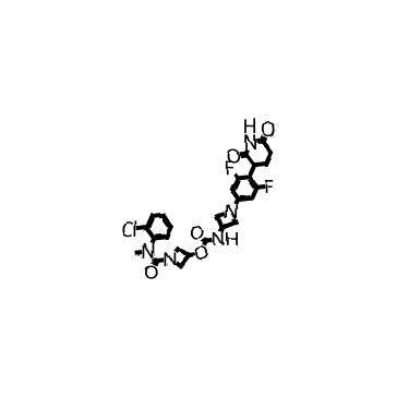 CN(C(=O)N1CC(OC(=O)NC2CN(c3cc(F)c(C4CCC(=O)NC4=O)c(F)c3)C2)C1)c1ccccc1Cl